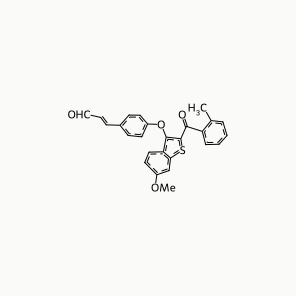 COc1ccc2c(Oc3ccc(/C=C/C=O)cc3)c(C(=O)c3ccccc3C)sc2c1